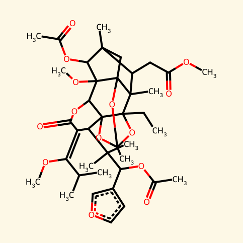 CCC12OC3(C)OC14C(C(C)(C)C(OC(C)=O)c1ccoc1)/C(=C(/OC)C(C)C)C(=O)OC4C1(OC)C(OC(C)=O)C4(C)CC1(O3)C2(C)C4CC(=O)OC